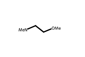 [CH]NCCOC